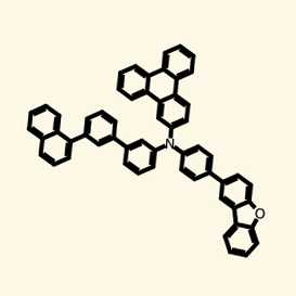 c1cc(-c2cccc(N(c3ccc(-c4ccc5oc6ccccc6c5c4)cc3)c3ccc4c5ccccc5c5ccccc5c4c3)c2)cc(-c2cccc3ccccc23)c1